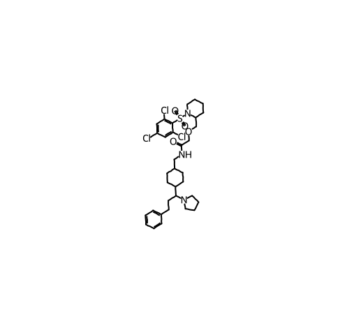 O=C(COCC1CCCCN1S(=O)(=O)c1c(Cl)cc(Cl)cc1Cl)NCC1CCC(C(CCc2ccccc2)N2CCCC2)CC1